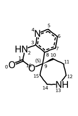 O=C1Nc2ncccc2[C@@]2(CCCNCC2)O1